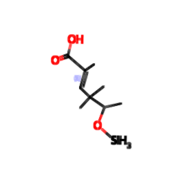 C/C(=C\C(C)(C)C(C)O[SiH3])C(=O)O